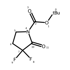 CC(C)(C)OC(=O)N1CCC(F)(F)C1=O